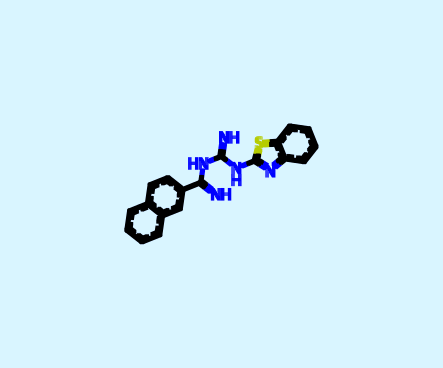 N=C(NC(=N)c1ccc2ccccc2c1)Nc1nc2ccccc2s1